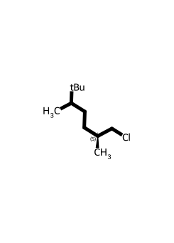 CC(CC[C@H](C)CCl)C(C)(C)C